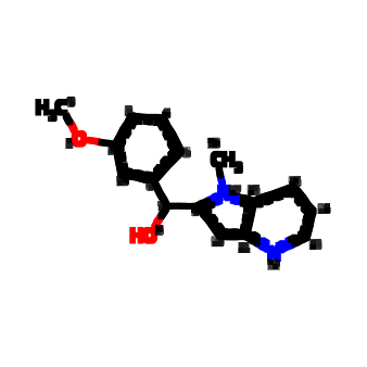 COc1cccc(C(O)c2cc3ncccc3n2C)c1